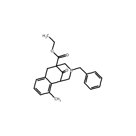 CCOC(=O)C12Cc3cccc(C)c3C(CN(Cc3ccccc3)C1)C2=O